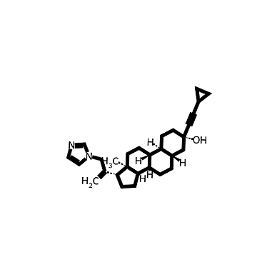 C=C(Cn1ccnc1)[C@H]1CC[C@H]2[C@@H]3CC[C@H]4C[C@](O)(C#CC5CC5)CC[C@@H]4[C@H]3CC[C@]12C